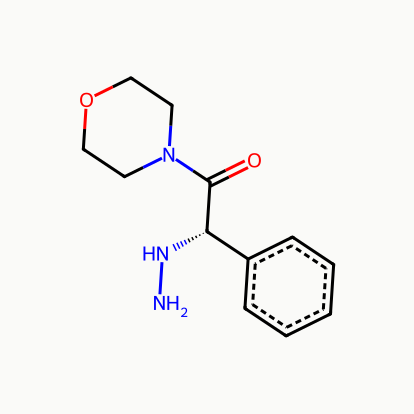 NN[C@H](C(=O)N1CCOCC1)c1ccccc1